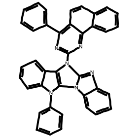 c1ccc(-c2nc(-n3c4c5ccccc5n(-c5ccccc5)c4n4c5ccccc5nc34)nc3c2ccc2ccccc23)cc1